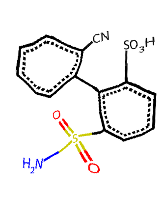 N#Cc1ccccc1-c1c(S(N)(=O)=O)cccc1S(=O)(=O)O